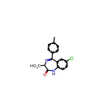 Cc1ccc(C2=NC(C(=O)O)C(=O)Nc3ccc(Cl)cc32)cc1